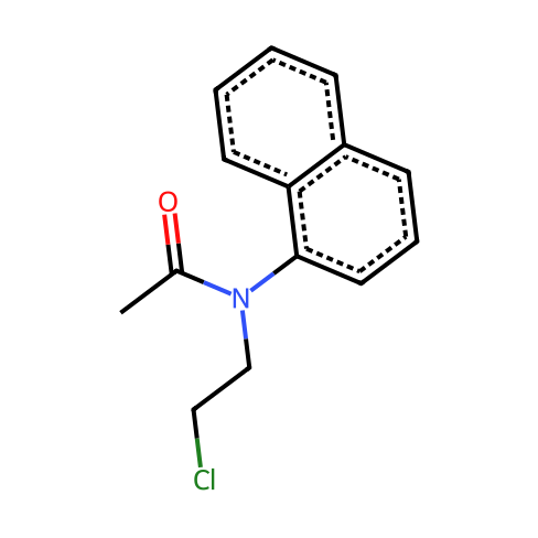 CC(=O)N(CCCl)c1cccc2ccccc12